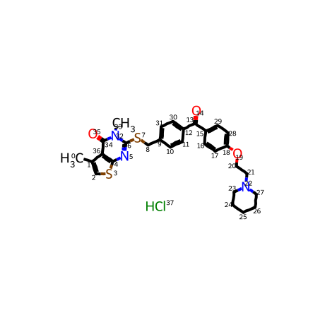 Cc1csc2nc(SCc3ccc(C(=O)c4ccc(OCCN5CCCCC5)cc4)cc3)n(C)c(=O)c12.Cl